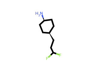 N[C@H]1CC[C@@H](CCC(F)F)CC1